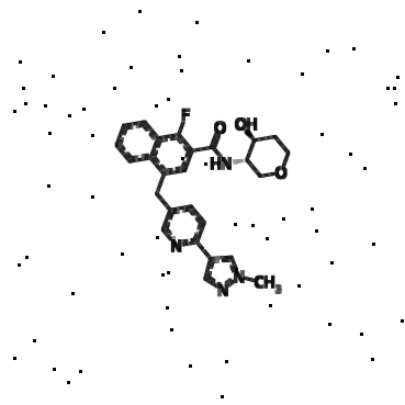 Cn1cc(-c2ccc(Cc3cc(C(=O)N[C@H]4COCC[C@@H]4O)c(F)c4ccccc34)cn2)cn1